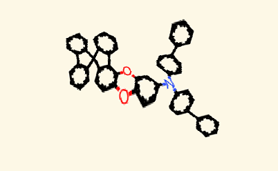 c1ccc(-c2ccc(N(c3ccc(-c4ccccc4)cc3)c3ccc4c(c3)Oc3c(ccc5c3-c3ccccc3C53c5ccccc5-c5ccccc53)O4)cc2)cc1